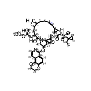 C[C@H]1CC/C=C\C2C[C@@]2(C(=O)NS(=O)(=O)C2(CF)CC2)NC(=O)[C@@H]2C[C@@H](Oc3nccc4c5c(ccc34)OCCO5)CN2C(=O)[C@@H](NC(=O)OC(C)(C)C)[C@H](C)C1